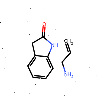 C=CCN.O=C1Cc2ccccc2N1